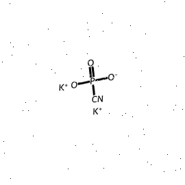 N#CP(=O)([O-])[O-].[K+].[K+]